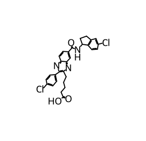 O=C(O)CCCCc1nc2cc(C(=O)NC3CCc4cc(Cl)ccc43)ccc2nc1-c1ccc(Cl)cc1